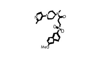 COc1ccc2cc(S(=O)(=O)CCC(=O)N(C)C3CCN(c4ccnc(C)c4)CC3)ccc2c1